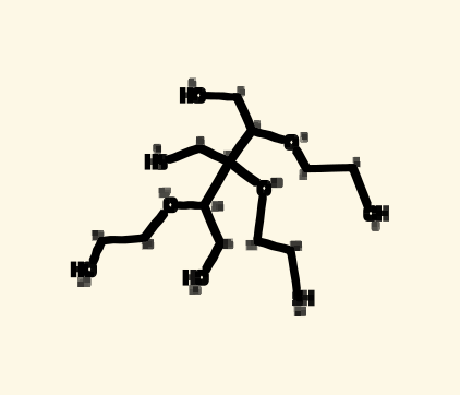 OCCOC(CO)C(CS)(OCCS)C(CO)OCCO